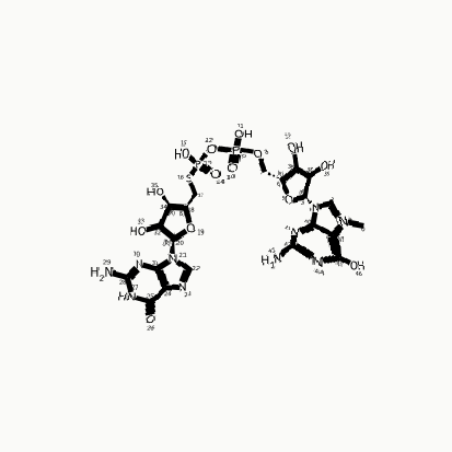 C[n+]1cn([C@@H]2O[C@H](COP(=O)(O)OP(=O)(O)SC[C@H]3O[C@@H](n4cnc5c(=O)[nH]c(N)nc54)C(O)[C@H]3O)C(O)C2O)c2nc(N)nc(O)c21